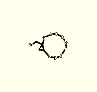 BrCC12[B][B][B][B][B][B][B][B][B]C1[B]2